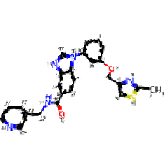 Cc1nc(COc2cccc(-n3cnc4cc(C(=O)NCc5cccnc5)ccc43)c2)cs1